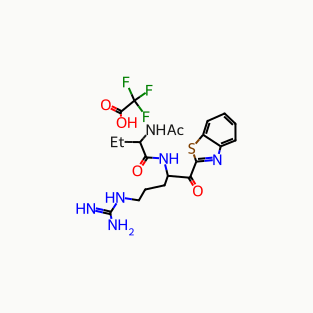 CCC(NC(C)=O)C(=O)NC(CCCNC(=N)N)C(=O)c1nc2ccccc2s1.O=C(O)C(F)(F)F